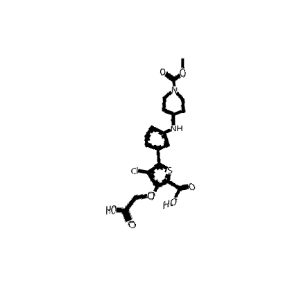 COC(=O)N1CCC(Nc2cccc(-c3sc(C(=O)O)c(OCC(=O)O)c3Cl)c2)CC1